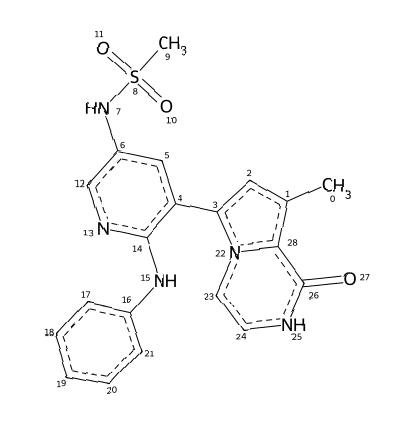 Cc1cc(-c2cc(NS(C)(=O)=O)cnc2Nc2ccccc2)n2cc[nH]c(=O)c12